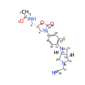 CC(=O)NC[C@H]1CN(c2ccc(N3C[C@H]4CN(CC#N)C[C@H]43)c(F)c2)C(=O)O1